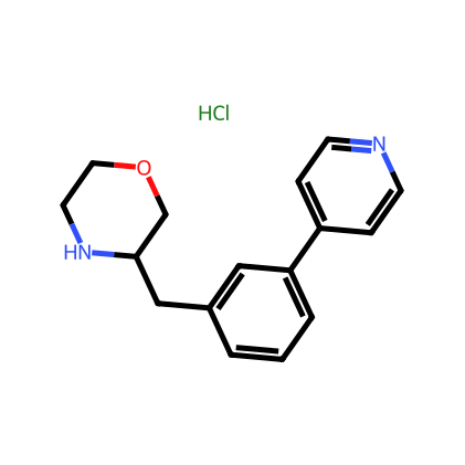 Cl.c1cc(CC2COCCN2)cc(-c2ccncc2)c1